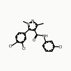 Cc1nn(C)c(-c2ccc(Cl)c(Cl)c2)c1C(=O)Nc1cccc(Cl)c1